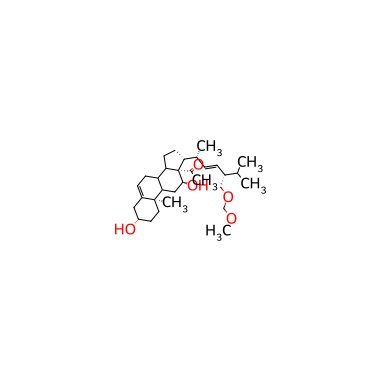 COCOC[C@H](/C=C/[C@@H](C)[C@H]1CCC2C3CC=C4C[C@@H](O)CC[C@]4(C)C3C[C@H](O)[C@@]21C(C)=O)C(C)C